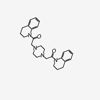 O=C(CN1CCN(CC(=O)N2CCCc3ccccc32)CC1)N1CCCc2ccccc21